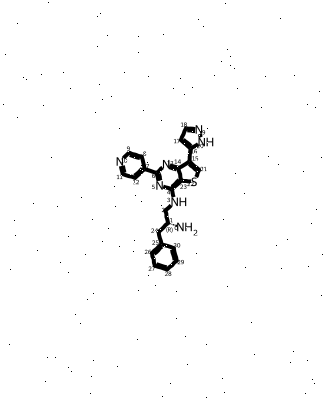 N[C@@H](CNc1nc(-c2ccncc2)nc2c(-c3ccn[nH]3)csc12)Cc1ccccc1